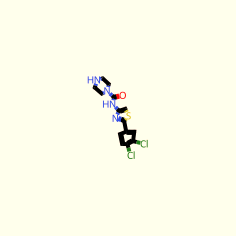 O=C(Nc1csc(-c2ccc(Cl)c(Cl)c2)n1)N1CCNCC1